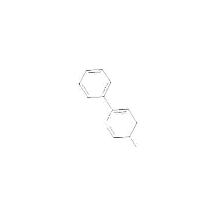 CCC1C=NC(c2ccccc2)=CC1